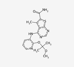 COC(C)(C)Oc1ncccc1Nc1ncnc2sc(C(N)=O)c(C)c12